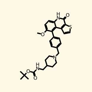 COc1ccc2[nH]c(=O)c3sccc3c2c1-c1ccc(CN2CCC(CNC(=O)OC(C)(C)C)CC2)cc1